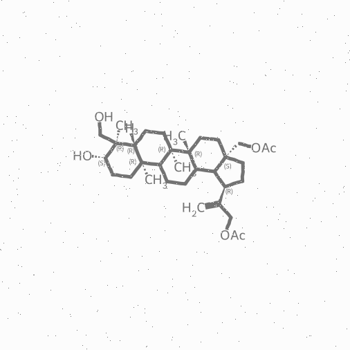 C=C(COC(C)=O)[C@@H]1CC[C@]2(COC(C)=O)CC[C@]3(C)C(CCC4[C@@]5(C)CC[C@H](O)[C@@](C)(CO)[C@@H]5CC[C@]43C)C12